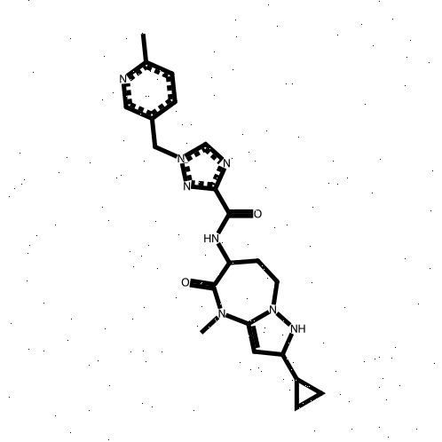 Cc1ccc(Cn2cnc(C(=O)NC3CCN4NC(C5CC5)C=C4N(C)C3=O)n2)cn1